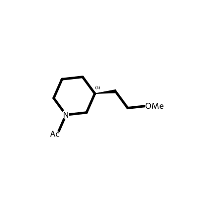 [CH2]C(=O)N1CCC[C@@H](CCOC)C1